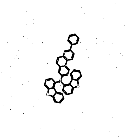 c1ccc(-c2ccc3c(ccc4cc(N(c5cccc6oc7ccccc7c56)c5cccc6sc7ccccc7c56)ccc43)c2)cc1